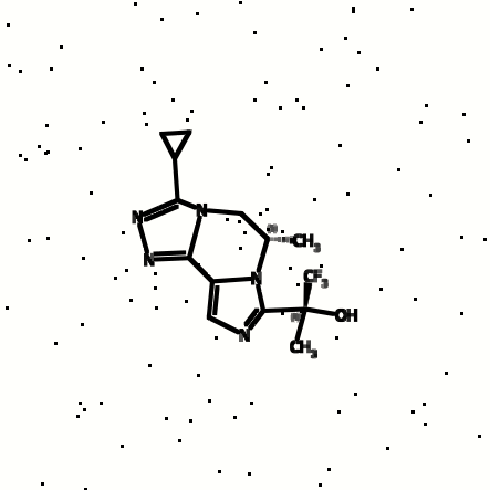 C[C@H]1Cn2c(nnc2C2CC2)-c2cnc([C@@](C)(O)C(F)(F)F)n21